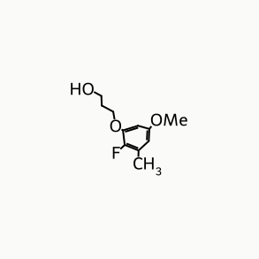 COc1cc(C)c(F)c(OCCCO)c1